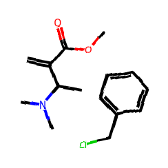 C=C(C(=O)OC)C(C)N(C)C.ClCc1ccccc1